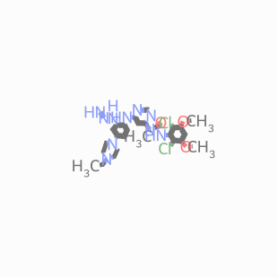 CCN1CCN(c2ccc(Nc3cc(N(C)C(=O)Nc4c(Cl)c(OC)cc(OC)c4Cl)ncn3)c(NN=N)c2)CC1